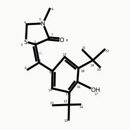 C/C(=C1\SCN(C)C1=O)c1cc(C(C)(C)C)c(O)c(C(C)(C)C)c1